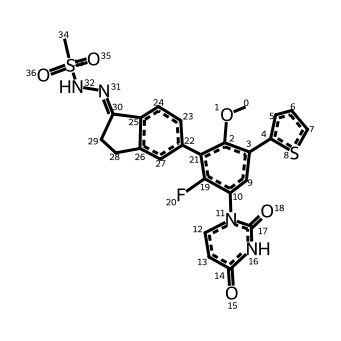 COc1c(-c2cccs2)cc(-n2ccc(=O)[nH]c2=O)c(F)c1-c1ccc2c(c1)CCC2=NNS(C)(=O)=O